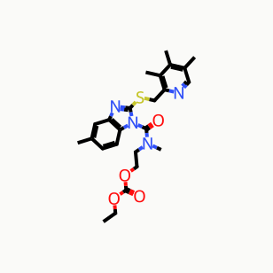 CCOC(=O)OCCN(C)C(=O)n1c(SCc2ncc(C)c(C)c2C)nc2cc(C)ccc21